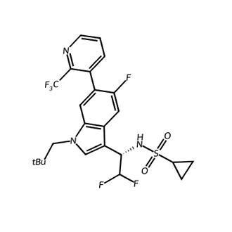 CC(C)(C)Cn1cc([C@H](NS(=O)(=O)C2CC2)C(F)F)c2cc(F)c(-c3cccnc3C(F)(F)F)cc21